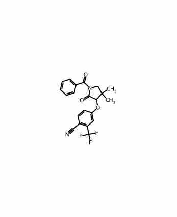 CC1(C)CN(C(=O)c2ccccc2)C(=O)C1Oc1ccc(C#N)c(C(F)(F)F)c1